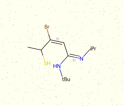 CC(C)/N=C(\C=C(\Br)C(C)S)NC(C)(C)C